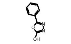 Oc1nnc(-c2ccccc2)o1